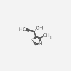 C#C[C@H](O)c1scnc1C